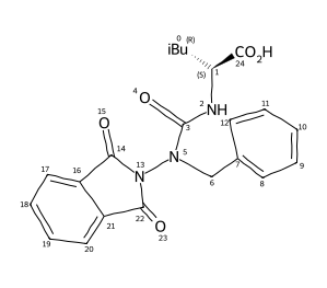 CC[C@@H](C)[C@H](NC(=O)N(Cc1ccccc1)N1C(=O)c2ccccc2C1=O)C(=O)O